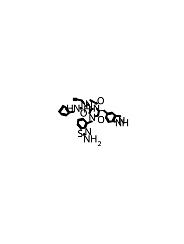 C#CCN(C(=O)NCc1ccccc1)N1CC(=O)N2[C@@H](Cc3ccc4[nH]ncc4c3)C(=O)N(Cc3cccc4sc(N)nc34)C[C@@H]21